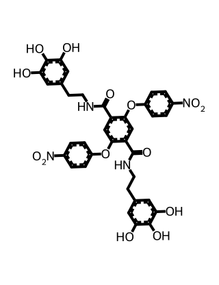 O=C(NCCc1cc(O)c(O)c(O)c1)c1cc(Oc2ccc([N+](=O)[O-])cc2)c(C(=O)NCCc2cc(O)c(O)c(O)c2)cc1Oc1ccc([N+](=O)[O-])cc1